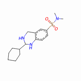 CN(C)S(=O)(=O)c1ccc2c(c1)CNC(C1CCCCC1)N2